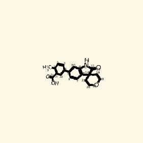 Cc1ccc(-c2ccc3c(c2)NC(=O)C32CCOCC2)cc1C(=O)O